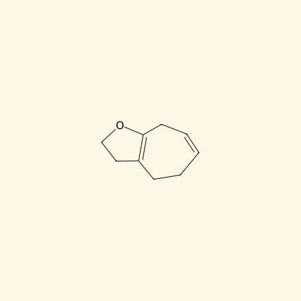 C1=CCC2=C(CC1)CCO2